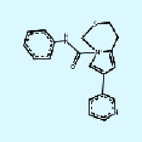 O=C(Nc1ccccc1)[N+]12C=C(c3cccnc3)C=C1CCSC2